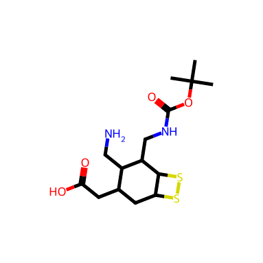 CC(C)(C)OC(=O)NCC1C(CN)C(CC(=O)O)CC2SSC21